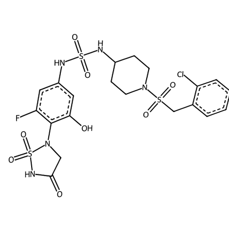 O=C1CN(c2c(O)cc(NS(=O)(=O)NC3CCN(S(=O)(=O)Cc4ccccc4Cl)CC3)cc2F)S(=O)(=O)N1